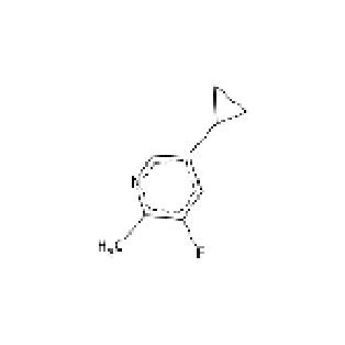 Cc1ncc(C2CC2)cc1F